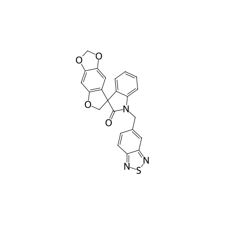 O=C1N(Cc2ccc3nsnc3c2)c2ccccc2C12COc1cc3c(cc12)OCO3